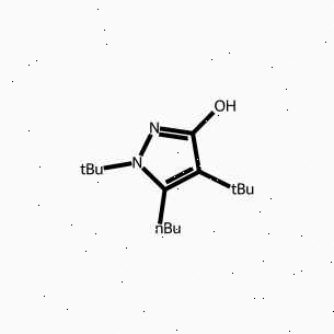 CCCCc1c(C(C)(C)C)c(O)nn1C(C)(C)C